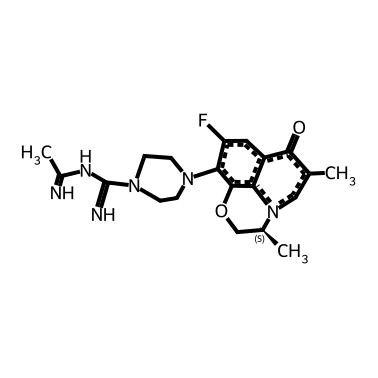 CC(=N)NC(=N)N1CCN(c2c(F)cc3c(=O)c(C)cn4c3c2OC[C@@H]4C)CC1